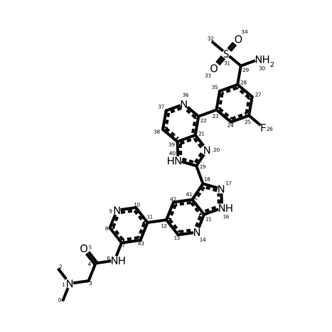 CN(C)CC(=O)Nc1cncc(-c2cnc3[nH]nc(-c4nc5c(-c6cc(F)cc(C(N)S(C)(=O)=O)c6)nccc5[nH]4)c3c2)c1